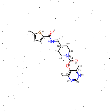 Cc1ccc(C(=O)N[C@H](C)C2CCN(C(=O)Oc3c(C)ncnc3C)CC2)s1